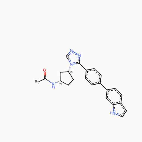 CCC(=O)N[C@H]1CC[C@@H](n2cnnc2-c2ccc(-c3ccc4cc[nH]c4c3)cc2)C1